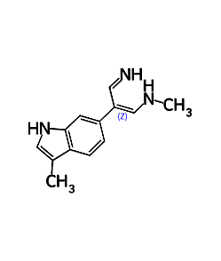 CN/C=C(\C=N)c1ccc2c(C)c[nH]c2c1